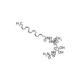 CC/C=C\C/C=C\C/C=C\C/C=C\C/C=C\C/C=C\CCC(=O)NCCNP(=O)(OC)OCC1O[C@@H](n2cnc(C(N)=O)n2)[C@H](O)[C@@H]1O